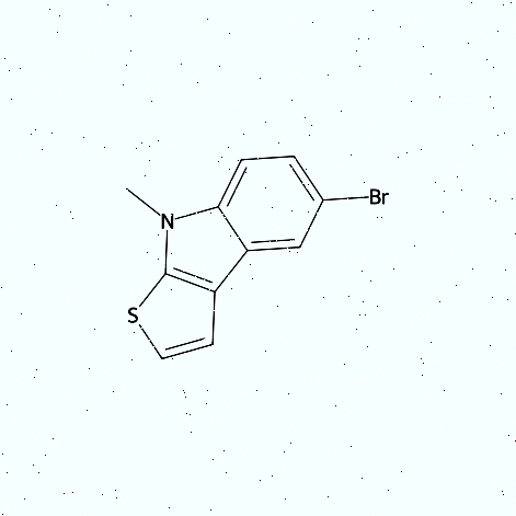 Cn1c2ccc(Br)cc2c2ccsc21